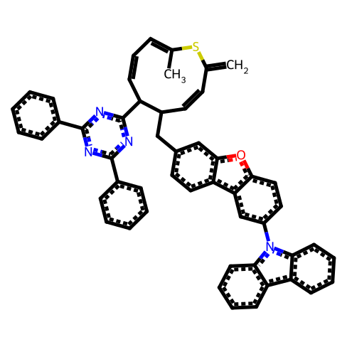 C=C1/C=C\C(Cc2ccc3c(c2)oc2ccc(-n4c5ccccc5c5ccccc54)cc23)C(c2nc(-c3ccccc3)nc(-c3ccccc3)n2)/C=C\C=C(/C)S1